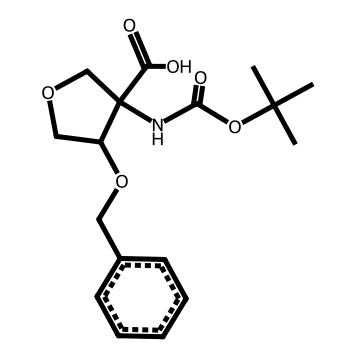 CC(C)(C)OC(=O)NC1(C(=O)O)COCC1OCc1ccccc1